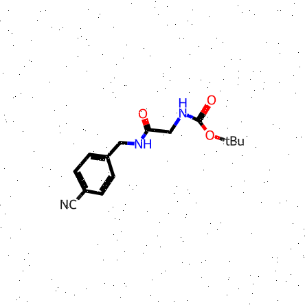 CC(C)(C)OC(=O)NCC(=O)NCc1ccc(C#N)cc1